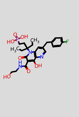 CCC(CC)(CCP(=O)(O)O)n1c(=O)c(C(=O)NCCO)c(O)c2ncc(Cc3ccc(F)cc3)cc21